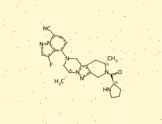 C[C@@H]1CN(c2ccc(C#N)n3ncc(F)c23)Cc2c3c(nn21)CN(C(=O)[C@H]1CCCN1)[C@@H](C)C3